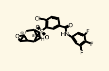 O=C(Nc1cc(F)c(F)c(F)c1)c1ccc(Cl)c(S(=O)(=O)[C@H]2C3CCC2C2C4O[C@]42C3)c1